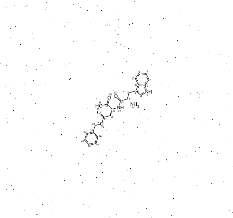 N[C@@H](Cc1c[nH]c2ccccc12)C(=O)N[C@@H](CC(=O)OCc1ccccc1)C(=O)O